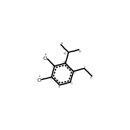 CCc1ccc(Cl)c(Cl)c1C(C)C